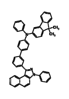 CC1(C)c2ccccc2-c2cc(N(c3ccccc3)c3ccc(-c4cccc(-c5nn(-c6ccccc6)c6ccc7ccccc7c56)c4)cc3)ccc21